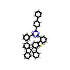 c1ccc(-c2ccc(-c3nc(-c4ccccc4)nc(-c4cccc5sc6c7c(ccc6c45)C4(c5ccccc5-c5ccccc54)c4ccccc4-7)n3)cc2)cc1